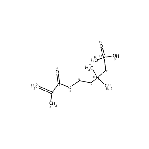 C=C(C)C(=O)OCC[N+](C)(C)CP(=O)(O)O